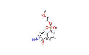 COCCOS(=O)(=O)c1cccc2c1C=CC(=[N+]=[N-])C2=O